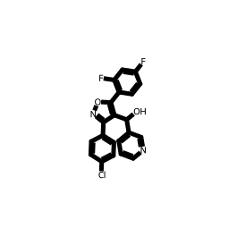 OC(c1cccnc1)c1c(-c2ccc(Cl)cc2)noc1-c1ccc(F)cc1F